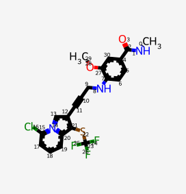 CNC(=O)c1ccc(NCC#Cc2cn3c(Cl)cccc3c2SC(F)(F)F)c(OC)c1